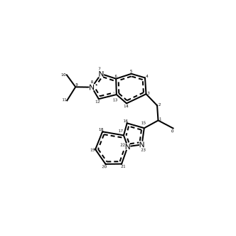 CC(Cc1ccc2nn(C(C)C)cc2c1)c1cc2ccccn2n1